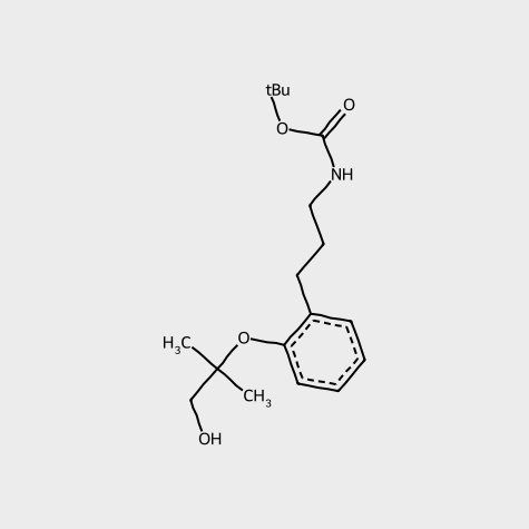 CC(C)(C)OC(=O)NCCCc1ccccc1OC(C)(C)CO